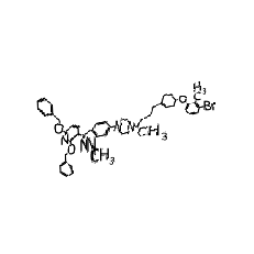 Cc1c(Br)cccc1O[C@H]1CC[C@H](CCC[C@@H](C)N2CCN(c3ccc4c(-c5ccc(OCc6ccccc6)nc5OCc5ccccc5)nn(C)c4c3)CC2)CC1